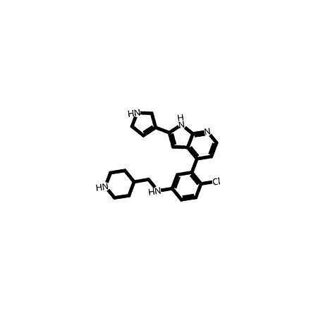 Clc1ccc(NCC2CCNCC2)cc1-c1ccnc2[nH]c(C3=CCNC3)cc12